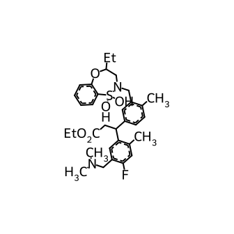 CCOC(=O)CC(c1ccc(C)c(CN2CC(CC)Oc3ccccc3S2(O)O)c1)c1cc(CN(C)C)c(F)cc1C